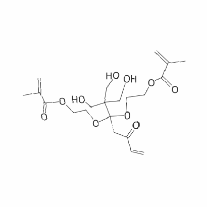 C=CC(=O)CC(OCCOC(=O)C(=C)C)(OCCOC(=O)C(=C)C)C(CO)(CO)CO